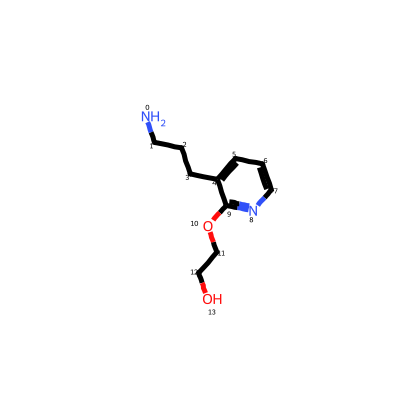 NCCCc1cccnc1OCCO